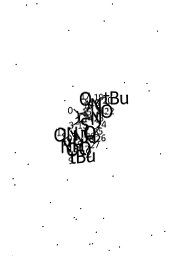 Cc1c(CN(NC(=O)OC(C)(C)C)C(N)=O)sc2c1c(=O)n(CC(C)(C)C)c(=O)n2CC1CCCO1